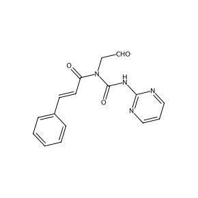 O=[C]CN(C(=O)C=Cc1ccccc1)C(=O)Nc1ncccn1